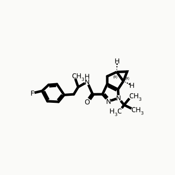 CC(Cc1ccc(F)cc1)NC(=O)c1nn(C(C)(C)C)c2c1C[C@H]1C[C@@H]21